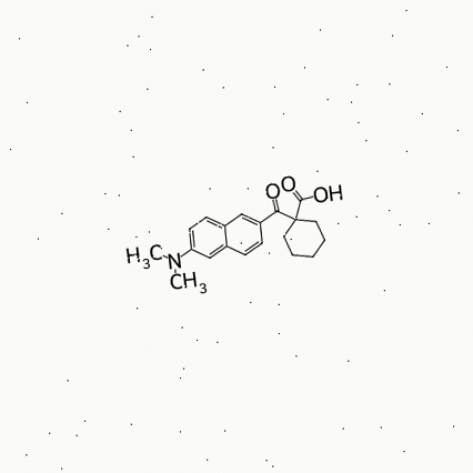 CN(C)c1ccc2cc(C(=O)C3(C(=O)O)CCCCC3)ccc2c1